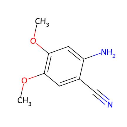 COc1cc(N)c(C#N)cc1OC